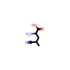 CC(C#N)CC(N)C(=O)O